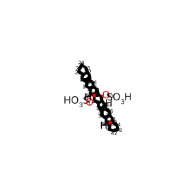 O=S(=O)(O)Oc1c2c(c(OS(=O)(=O)O)c3c1[C@H]1CC3c3cc4c(cc31)C1CC4c3ccccc31)[C@H]1CC2c2cc3c(cc21)C1C[C@@H]3c2ccccc21